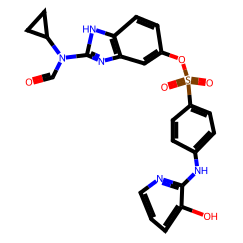 O=CN(c1nc2cc(OS(=O)(=O)c3ccc(Nc4ncccc4O)cc3)ccc2[nH]1)C1CC1